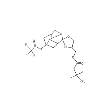 CC(F)(F)C(=O)OC12CC3CC(C1)C1(OCC(COC(=O)CC(F)(F)C(F)(F)F)O1)C(C3)C2